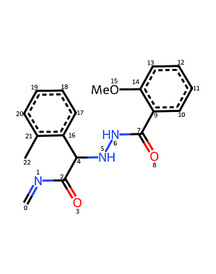 C=NC(=O)C(NNC(=O)c1ccccc1OC)c1ccccc1C